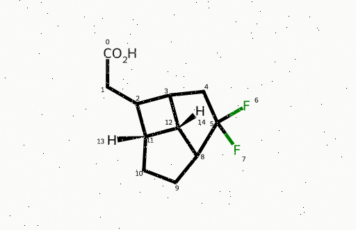 O=C(O)CC1C2CC(F)(F)C3CC[C@H]1[C@H]23